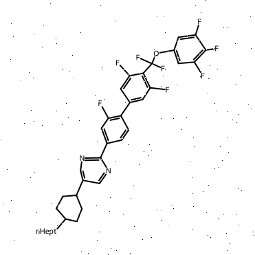 CCCCCCCC1CCC(c2cnc(-c3ccc(-c4cc(F)c(C(F)(F)Oc5cc(F)c(F)c(F)c5)c(F)c4)c(F)c3)nc2)CC1